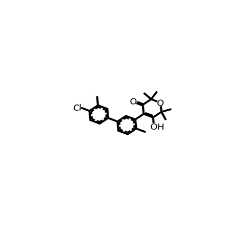 Cc1cc(-c2ccc(C)c(C3=C(O)C(C)(C)OC(C)(C)C3=O)c2)ccc1Cl